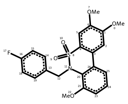 COc1cc2c(cc1OC)S(=O)(=O)N(Cc1ccc(F)cc1)c1c(OC)cccc1-2